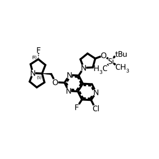 CC(C)(C)[Si](C)(C)OC1CCN(c2nc(OC[C@@]34CCCN3C[C@H](F)C4)nc3c(F)c(Cl)ncc23)C1